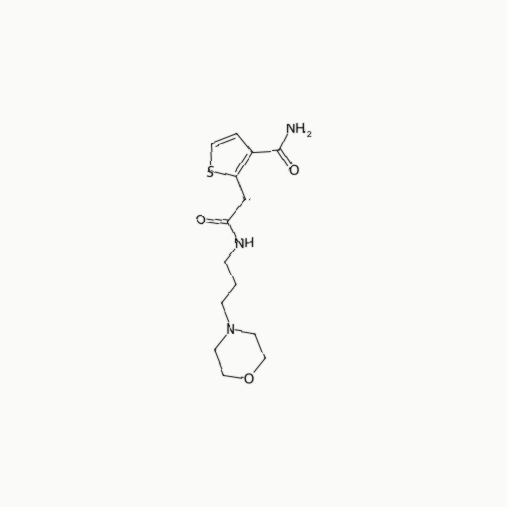 NC(=O)c1ccsc1[CH]C(=O)NCCCN1CCOCC1